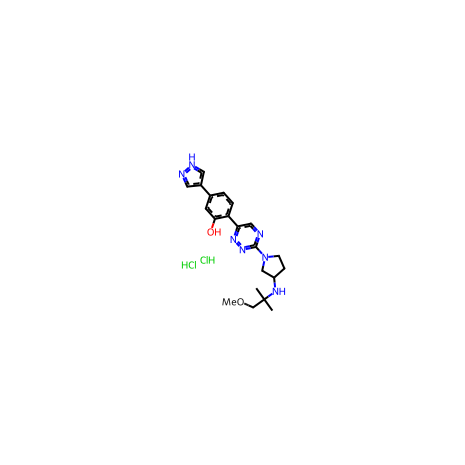 COCC(C)(C)NC1CCN(c2ncc(-c3ccc(-c4cn[nH]c4)cc3O)nn2)C1.Cl.Cl